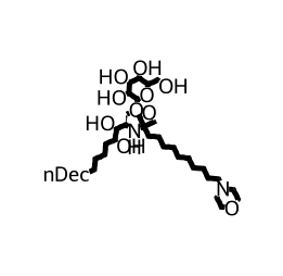 CCCCCCCCCCCCCC[C@@H](O)[C@@H](O)[C@H](COC1OC(CO)C(O)C(O)C1O)NC1(CCCCCCCCCCN2CCOCC2)COC1